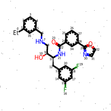 CCc1cccc(CNC[C@H](O)[C@H](Cc2cc(F)cc(F)c2)NC(=O)c2cccc(-c3ncco3)c2)c1